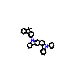 CC1(C)c2ccccc2-c2cc(-n3c4ccccc4c4cc5c(ccc6c5c5ccccc5n6-c5ccccc5)cc43)ccc21